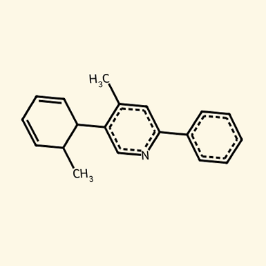 Cc1cc(-c2ccccc2)ncc1C1C=CC=CC1C